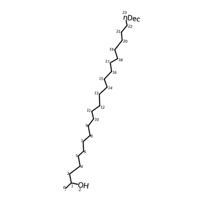 [CH2]C(O)CCCCCCCCCCCCCCCCCCCCCCCCCCCCCC